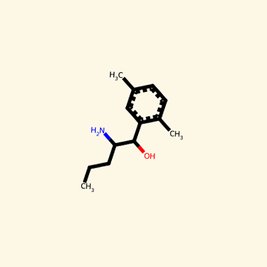 CCCC(N)C(O)c1cc(C)ccc1C